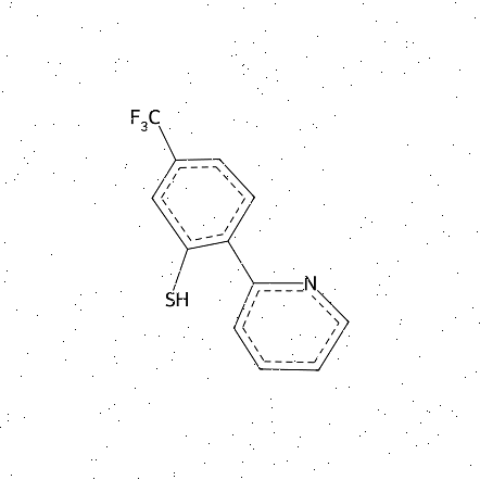 FC(F)(F)c1ccc(-c2ccccn2)c(S)c1